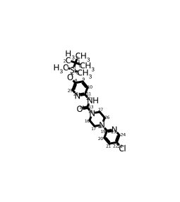 CC(C)(C)[Si](C)(C)Oc1ccc(NC(=O)N2CCN(c3ccc(Cl)cn3)CC2)nc1